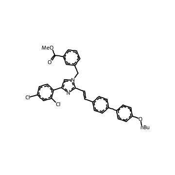 CCCCOc1ccc(-c2ccc(C=Cc3nc(-c4ccc(Cl)cc4Cl)cn3Cc3cccc(C(=O)OC)c3)cc2)cc1